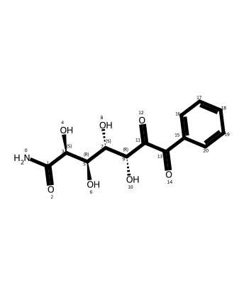 NC(=O)[C@@H](O)[C@H](O)[C@H](O)[C@@H](O)C(=O)C(=O)c1ccccc1